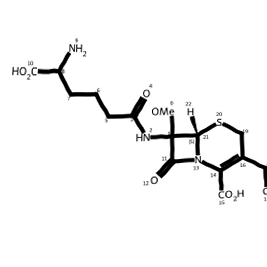 COC1(NC(=O)CCCC(N)C(=O)O)C(=O)N2C(C(=O)O)=C(CO)CS[C@H]21